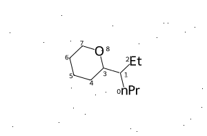 CCCC(CC)C1CCCCO1